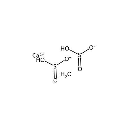 O.O=S([O-])O.O=S([O-])O.[Ca+2]